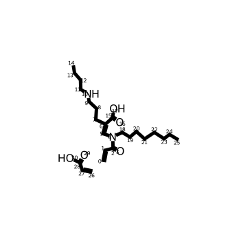 C=CC(=O)N(C=C(CCCNCCCC)C(=O)O)CCCCCCCC.C=CC(=O)O